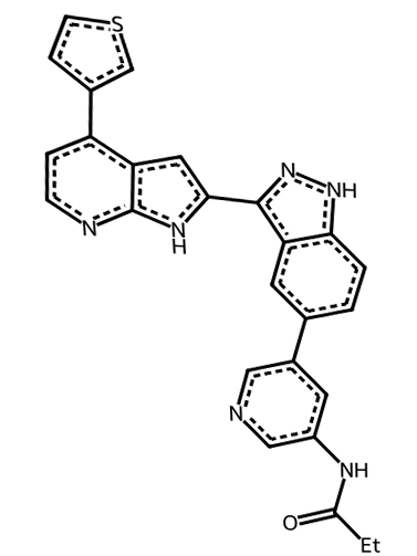 CCC(=O)Nc1cncc(-c2ccc3[nH]nc(-c4cc5c(-c6ccsc6)ccnc5[nH]4)c3c2)c1